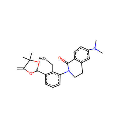 C=C1OB(c2cccc(N3CCc4cc(N(C)C)ccc4C3=O)c2COC(C)=O)OC1(C)C